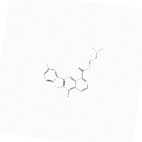 Cc1c2ccnc(C(=O)NCCN(C)C)c2cc2c1[nH]c1ccc(O)cc12